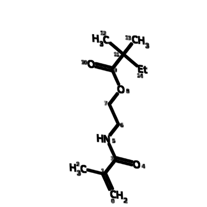 C=C(C)C(=O)NCCOC(=O)C(C)(C)CC